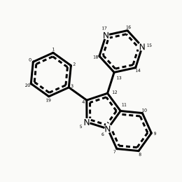 c1ccc(-c2nn3ccccc3c2-c2cncnc2)cc1